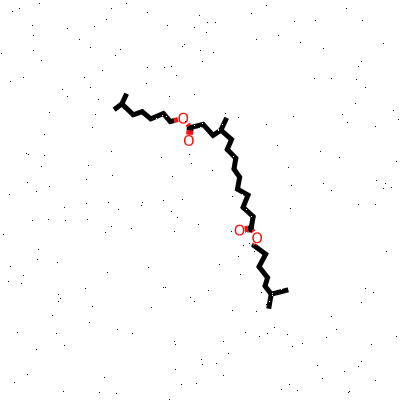 CC(C)CCCCCOC(=O)CCCCCCCCCC(C)CCC(=O)OCCCCCC(C)C